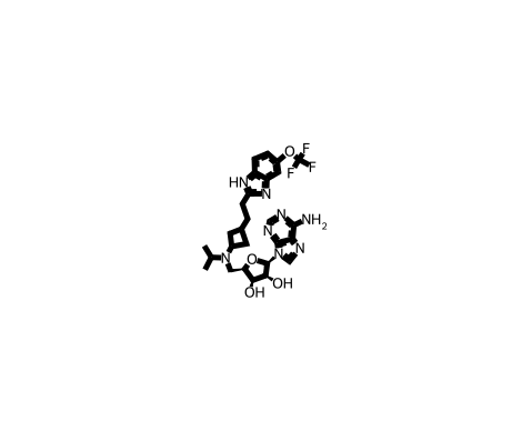 CC(C)N(C[C@H]1O[C@@H](n2cnc3c(N)ncnc32)[C@@H](O)[C@H]1O)C1CC(CCc2nc3cc(OC(F)(F)F)ccc3[nH]2)C1